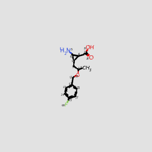 CC(CC1C(N)C1C(=O)O)OCc1ccc(F)cc1